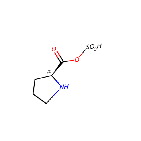 O=C(OS(=O)(=O)O)[C@@H]1CCCN1